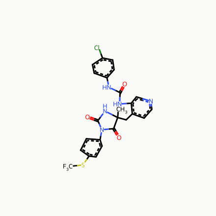 CC1(Cc2ccncc2NC(=O)Nc2ccc(Cl)cc2)NC(=O)N(c2ccc(SC(F)(F)F)cc2)C1=O